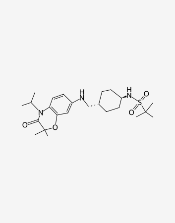 CC(C)N1C(=O)C(C)(C)Oc2cc(NC[C@H]3CC[C@H](NS(=O)(=O)C(C)(C)C)CC3)ccc21